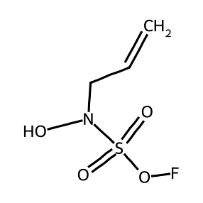 C=CCN(O)S(=O)(=O)OF